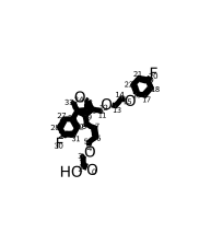 O=C(O)COC/C=C\CC1C(COCCOc2ccc(F)cc2)C2CC1(c1ccc(F)cc1)CO2